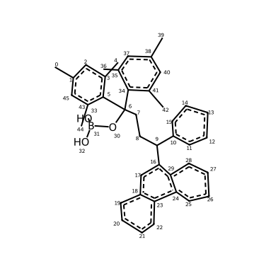 Cc1cc(C)c(C(CCC(c2ccccc2)c2cc3ccccc3c3ccccc23)(OB(O)O)c2c(C)cc(C)cc2C)c(C)c1